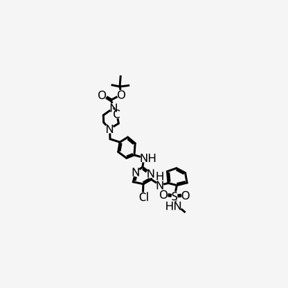 CNS(=O)(=O)c1ccccc1Nc1nc(Nc2ccc(CN3CCN(C(=O)OC(C)(C)C)CC3)cc2)ncc1Cl